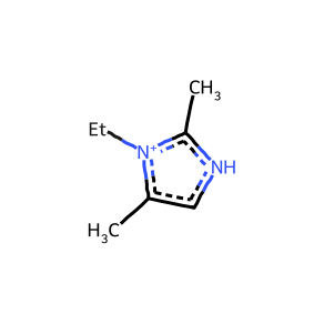 CC[n+]1c(C)c[nH]c1C